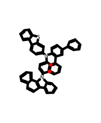 c1ccc(-c2ccc(N(c3ccc(-n4c5ccccc5c5ccc6ccccc6c54)cc3)c3ccc4c(c3)sc3ccccc34)c(-c3ccccc3)c2)cc1